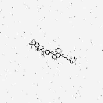 CN(C)CCCOc1cc2nccc(Oc3ccc(NC(=O)Nc4ccc(Cl)c(C(F)(F)F)c4)cc3)c2c2c1OCCO2